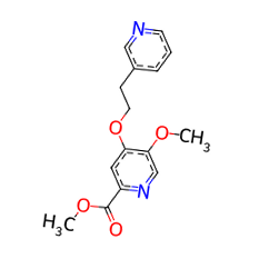 COC(=O)c1cc(OCCc2cccnc2)c(OC)cn1